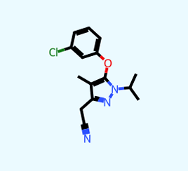 Cc1c(CC#N)nn(C(C)C)c1Oc1cccc(Cl)c1